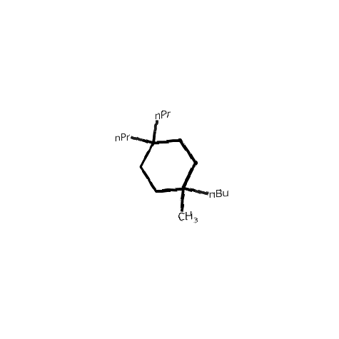 CCCCC1(C)CCC(CCC)(CCC)CC1